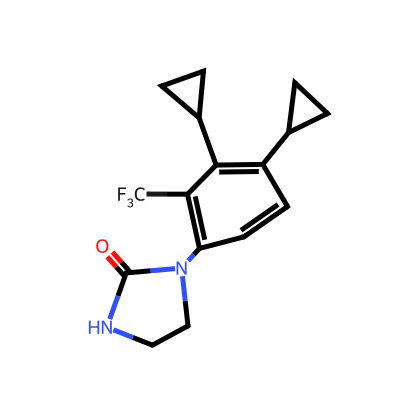 O=C1NCCN1c1ccc(C2CC2)c(C2CC2)c1C(F)(F)F